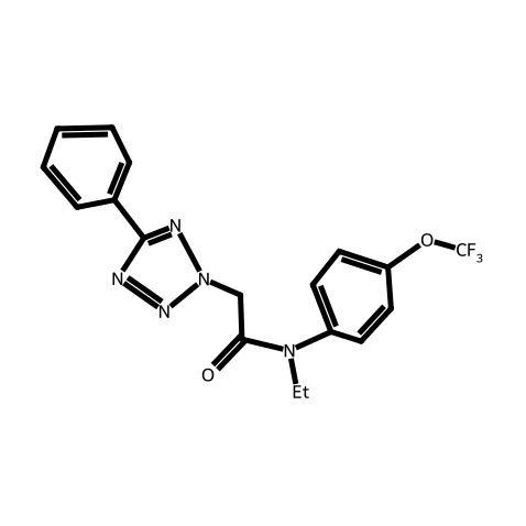 CCN(C(=O)Cn1nnc(-c2ccccc2)n1)c1ccc(OC(F)(F)F)cc1